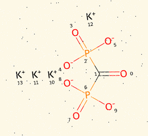 O=C(P(=O)([O-])[O-])P(=O)([O-])[O-].[K+].[K+].[K+].[K+]